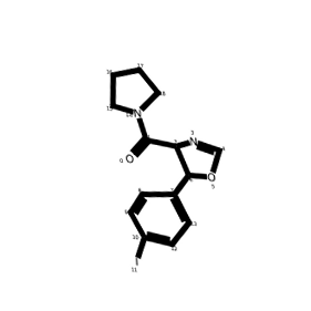 O=C(C1N=COC1c1ccc(I)cc1)N1CCCC1